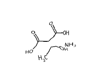 CCO.N.O=C(O)CC(=O)O